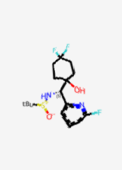 CC(C)(C)[S+]([O-])N[C@@H](c1cccc(F)n1)C1(O)CCC(F)(F)CC1